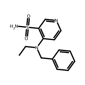 CCN(Cc1ccccc1)c1ccncc1S(N)(=O)=O